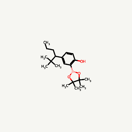 CCCC(c1ccc(O)c(B2OC(C)(C)C(C)(C)O2)c1)C(C)(C)C